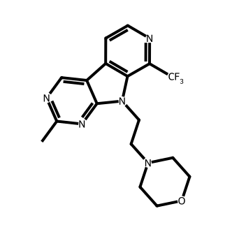 Cc1ncc2c3ccnc(C(F)(F)F)c3n(CCN3CCOCC3)c2n1